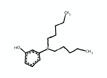 CCCCCN(CCCCC)c1cccc(O)c1